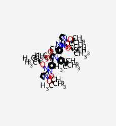 CO[C@H]1[C@H](OC)[C@H](c2ccc3nc([C@@H]4CCCN4C(=O)OC(C)(C)C)n(COCC[Si](C)(C)C)c3c2)N(c2ccc(C(C)(C)C)cc2)[C@H]1c1ccc2c(c1)nc([C@@H]1CCCN1C(=O)OC(C)(C)C)n2COCC[Si](C)(C)C